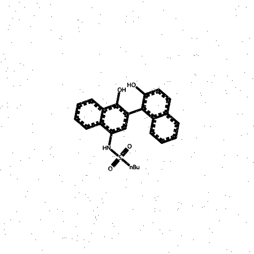 CCCCS(=O)(=O)Nc1cc(-c2c(O)ccc3ccccc23)c(O)c2ccccc12